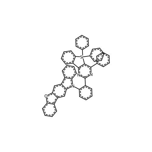 c1ccc(-c2nc(-c3ccccc3-n3c4ccccc4c4cc5oc6ccccc6c5cc43)nc3c2[Si](c2ccccc2)(c2ccccc2)c2ccccc2-3)cc1